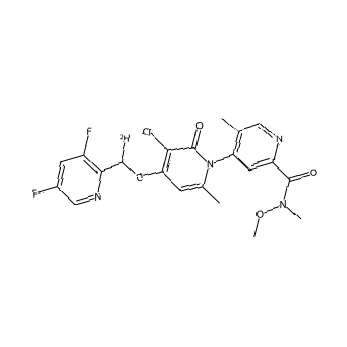 [2H]C(Oc1cc(C)n(-c2cc(C(=O)N(C)OC)ncc2C)c(=O)c1Cl)c1ncc(F)cc1F